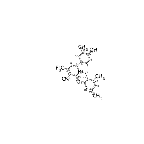 [C-]#[N+]c1c(C(F)(F)F)cc(-c2ccc(O)c(C)c2)n(Cc2ccc(C)cc2C)c1=O